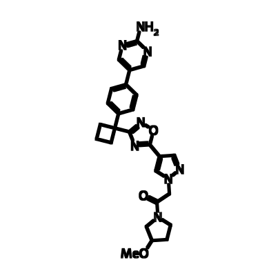 COC1CCN(C(=O)Cn2cc(-c3nc(C4(c5ccc(-c6cnc(N)nc6)cc5)CCC4)no3)cn2)C1